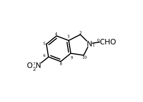 O=CN1Cc2ccc([N+](=O)[O-])cc2C1